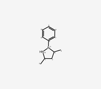 CC1CC(C)N(c2ccccc2)N1